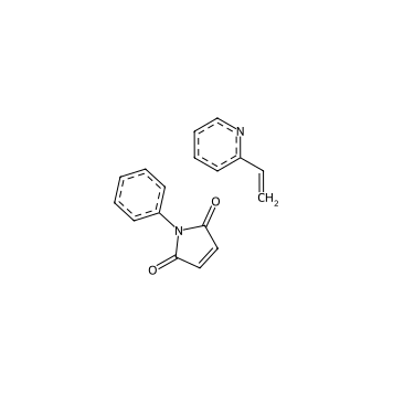 C=Cc1ccccn1.O=C1C=CC(=O)N1c1ccccc1